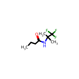 CCCC(=O)NC(C)(C)C(F)(F)F